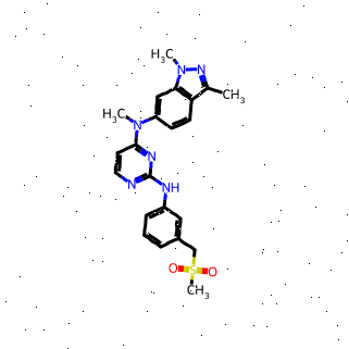 Cc1nn(C)c2cc(N(C)c3ccnc(Nc4cccc(CS(C)(=O)=O)c4)n3)ccc12